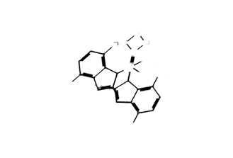 CC1=Cc2c(C)ccc(C)c2[CH]1[Hf]([CH3])([CH3])([CH]1C(C)=Cc2c(C)ccc(C)c21)=[Si]1[SiH2][SiH2][SiH2]1